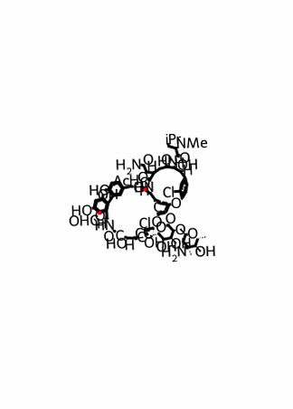 CN[C@H](CC(C)C)C(=O)N[C@H]1C(=O)C[C@@H](CC(N)=O)C(=O)N[C@H]2C(=O)C[C@@H](C(C)=O)c3ccc(O)c(c3)-c3c(O)cc(O)cc3[C@H](OC=O)NC(=O)C[C@H](O)c3ccc(c(Cl)c3)Oc3cc2cc(c3OC2O[C@@H](CO)[C@@H](O)[C@H](O)[C@@H]2O[C@@H]2C[C@](C)(N)[C@H](O)[C@@H](C)O2)Oc2ccc(cc2Cl)[C@H]1O